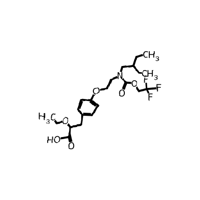 CCOC(Cc1ccc(OCCN(CC(CC)CC)C(=O)OCC(F)(F)F)cc1)C(=O)O